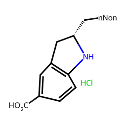 CCCCCCCCCC[C@H]1Cc2cc(C(=O)O)ccc2N1.Cl